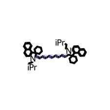 CC(C)CCN1/C(=C/C=C/C=C/C=C/C=C/C2=[N+](CCC(C)C)c3ccc4ccccc4c3C23CCCCC3)C2(CCCCC2)c2c1ccc1ccccc21